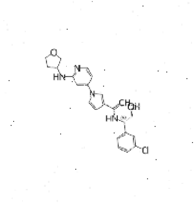 C=C(N[C@H](CO)c1cccc(Cl)c1)c1ccn(-c2ccnc(NC3CCOC3)c2)c1